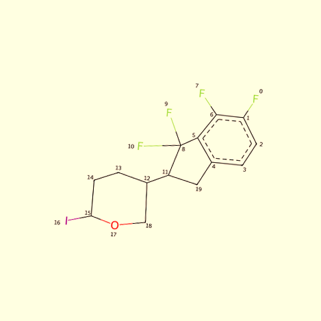 Fc1ccc2c(c1F)C(F)(F)C(C1CCC(I)OC1)C2